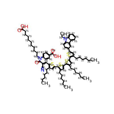 CCCCCCc1cc(-c2sc(-c3sc(-c4sc(-c5ccc6c(c5)c5ccccc5n6CC)cc4CCCCCC)cc3CCCCCC)cc2CCCCCC)sc1/C=C(\C#N)C(=O)N(CCCCCCCCCCC(=O)O)c1ccc(C(=O)O)cc1